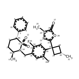 C[C@H]1CC[C@H](c2ccccc2)S(=O)(=O)N1Cc1cc(F)c([C@]2(c3nn(C)c(=O)o3)C[C@@H](C)C2)cc1F